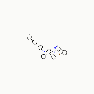 c1ccc(-c2ccc(-c3ccc(-n4c5ccccc5c5c6c7ccccc7n(-c7nccc8c7sc7ccccc78)c6ccc54)cc3)cc2)cc1